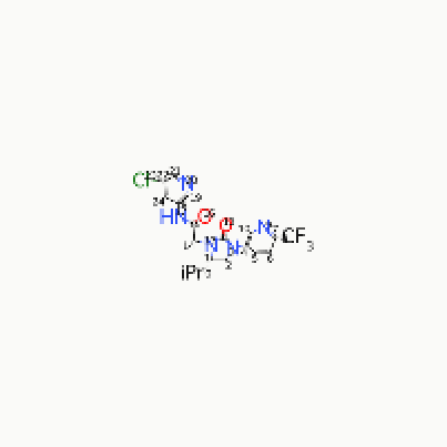 CC(C)[C@H]1CN(c2ccc(C(F)(F)F)nc2)C(=O)N1CC(=O)Nc1cncc(Cl)c1